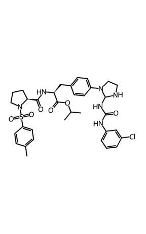 Cc1ccc(S(=O)(=O)N2CCC[C@H]2C(=O)N[C@@H](Cc2ccc(N3CCNC3NC(=O)Nc3cccc(Cl)c3)cc2)C(=O)OC(C)C)cc1